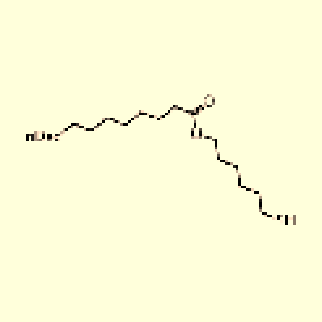 CCCCCCCCCCCCCCCCCC(=O)OCCCCCCS